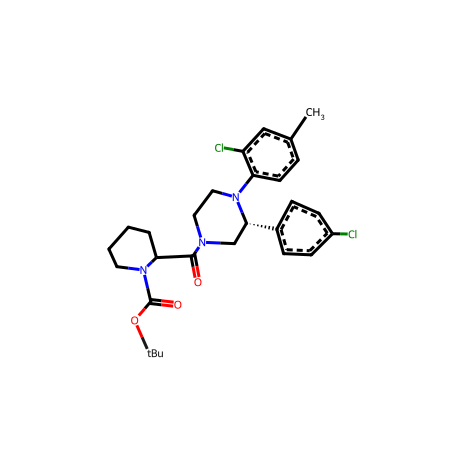 Cc1ccc(N2CCN(C(=O)C3CCCCN3C(=O)OC(C)(C)C)C[C@H]2c2ccc(Cl)cc2)c(Cl)c1